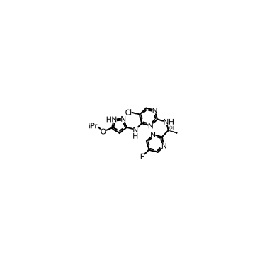 CC(C)Oc1cc(Nc2nc(N[C@@H](C)c3ncc(F)cn3)ncc2Cl)n[nH]1